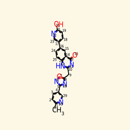 Cc1ccc(-c2noc(Cc3nc(=O)c4cc(-c5ccc(O)nc5)ccc4[nH]3)n2)cn1